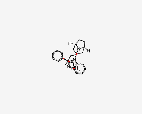 Cc1nc2ccccc2n1C1C[C@H]2CC[C@@H](C1)N2CCC(C)(CN)c1ccccc1